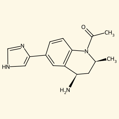 CC(=O)N1c2ccc(-c3c[nH]cn3)cc2[C@H](N)C[C@@H]1C